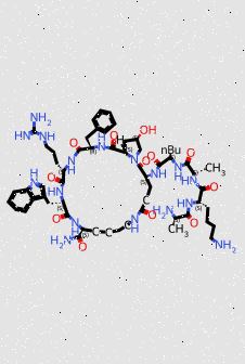 CCCC[C@H](NC(=O)[C@H](C)NC(=O)[C@H](CCCCN)NC(=O)[C@H](C)N)C(=O)N[C@H]1CCC(=O)NCCCC[C@@H](C(N)=O)NC(=O)[C@H](Cc2c[nH]c3ccccc23)NC(=O)[C@H](CCCNC(=N)N)NC(=O)[C@@H](Cc2ccccc2)NC(=O)[C@@H]2C[C@@H](O)CN2C1=O